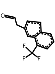 O=CCc1ccc2cccc(C(F)(F)F)c2c1